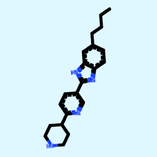 CCCCc1ccc2nc(-c3ccc(C4CCNCC4)nc3)[nH]c2c1